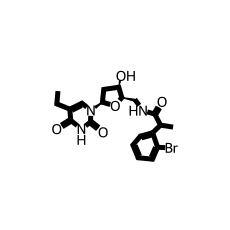 CCc1cn([C@H]2C[C@H](O)[C@@H](CNC(=O)C(C)c3ccccc3Br)O2)c(=O)[nH]c1=O